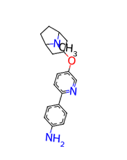 CN1C2CCC1CC(Oc1ccc(-c3ccc(N)cc3)nc1)C2